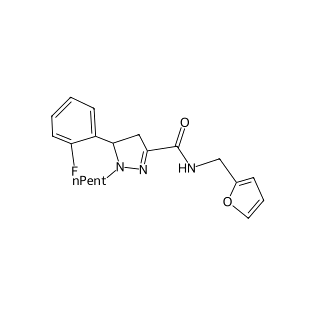 CCCCCN1N=C(C(=O)NCc2ccco2)CC1c1ccccc1F